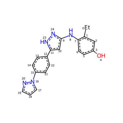 CCc1cc(O)ccc1Nc1cc(-c2ccc(-n3cccn3)cc2)[nH]n1